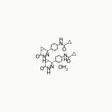 O.O=C(Nc1ccc(C2=NNC(=O)C3CC23)cc1)C1CC1.O=C(Nc1ccc(C2=NNC(=O)C3CC23)cc1)C1CC1